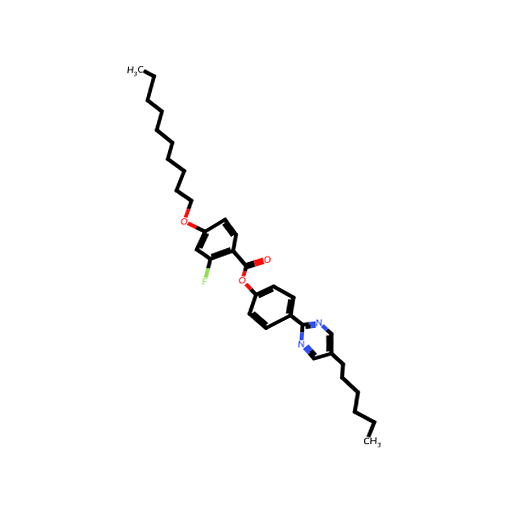 CCCCCCCCCCOc1ccc(C(=O)Oc2ccc(-c3ncc(CCCCCC)cn3)cc2)c(F)c1